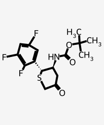 CC(C)(C)OC(=O)N[C@H]1CC(=O)CS[C@@H]1c1cc(F)cc(F)c1F